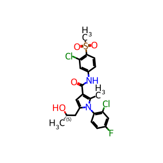 Cc1c(C(=O)Nc2ccc(S(C)(=O)=O)c(Cl)c2)cc(C[C@H](C)O)n1-c1ccc(F)cc1Cl